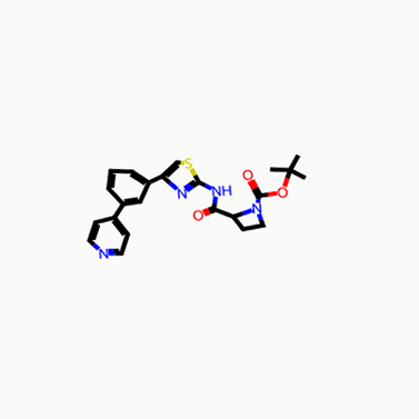 CC(C)(C)OC(=O)N1CCC1C(=O)Nc1nc(-c2cccc(-c3ccncc3)c2)cs1